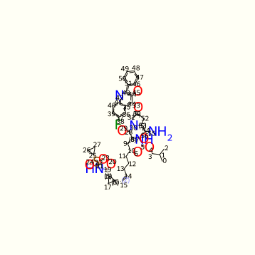 CC(C)COC(=O)N[C@@H](CCCCC/C=C\[C@@H]1C[C@@H]1C(=O)NS(=O)(=O)C1CC1)C(=O)N1C[C@H](Oc2c3cc(F)ccc3nc3c2oc2ccccc23)C[C@H]1C(N)=O